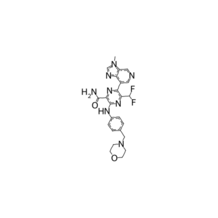 Cn1cnc2c(-c3nc(C(N)=O)c(Nc4ccc(CN5CCOCC5)cc4)nc3C(F)F)cncc21